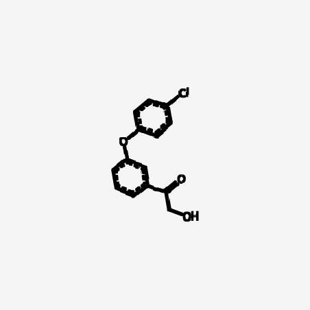 O=C(CO)c1cccc(Oc2ccc(Cl)cc2)c1